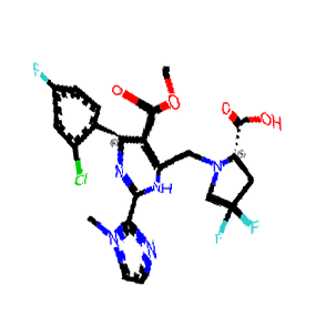 COC(=O)C1=C(CN2CC(F)(F)C[C@H]2C(=O)O)NC(c2nccn2C)=N[C@H]1c1ccc(F)cc1Cl